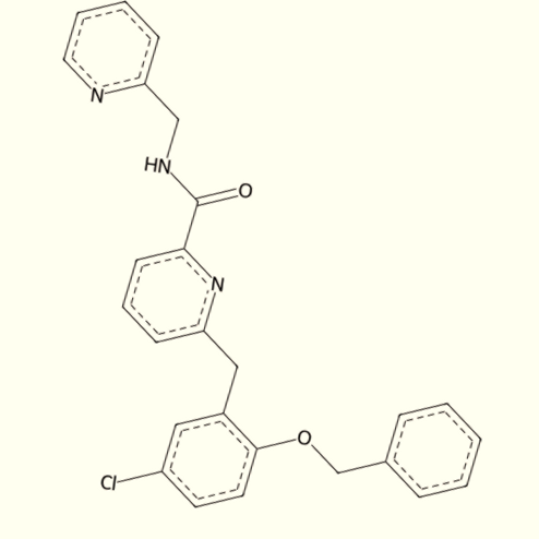 O=C(NCc1ccccn1)c1cccc(Cc2cc(Cl)ccc2OCc2ccccc2)n1